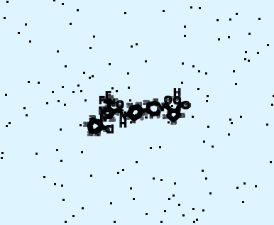 O=C(Nc1ccc(C2CCN(C(=O)C3CCCC3C(=O)O)CC2)cc1)c1cn(-c2ccccc2Cl)nc1C(F)(F)F